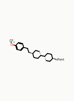 CCCCC[C@H]1CC[C@H]([C@H]2CC[C@H](CCc3ccc(OC(F)(F)F)cc3)CC2)CC1